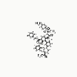 Cc1ccc(S(=O)(=O)N(C)CC(=O)N(Cc2ccc(C3CCN(C(=O)C(F)(F)F)CC3)cc2)c2ccc(C(=O)OCc3ccccc3)c(OCc3ccccc3)c2)cc1